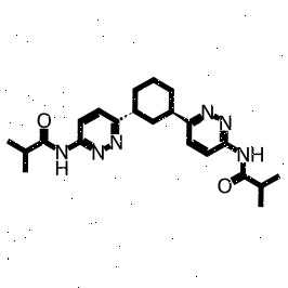 CC(C)C(=O)Nc1ccc([C@@H]2CCC[C@@H](c3ccc(NC(=O)C(C)C)nn3)C2)nn1